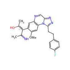 COc1cc2c(cc1/C(C(C)=N)=C(\C)O)ncc1nnc(CCc3ccc(F)cc3)n12